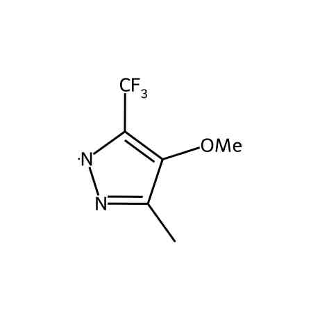 COC1=C(C(F)(F)F)[N]N=C1C